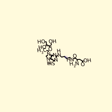 CC(O[C@H](CO)[C@H](O)CO)N1CNc2c(S)nc(NC/C=C/CNC(=O)C(N)CC(=O)O)nc21